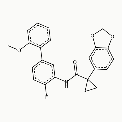 COc1ccccc1-c1ccc(F)c(NC(=O)C2(c3ccc4c(c3)OCO4)CC2)c1